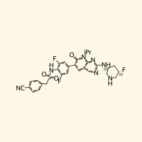 CC(C)n1c(=O)c(-c2cc(F)c(NS(=O)(=O)Cc3ccc(C#N)cc3)c(F)c2)cc2cnc(N[C@@H]3CNC[C@@H](F)C3)nc21